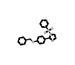 O=S(=O)(c1ccccc1)n1c[c]nc1-c1ccc(OCc2ccccc2)cc1